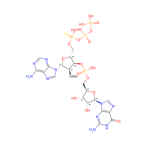 CO[C@@H]1[C@H](OP(=O)(O)OC[C@H]2O[C@@H](n3cnc4c(=O)[nH]c(N)nc43)[C@H](O)[C@@H]2O)[C@@H](COP(O)(=S)OP(=O)(O)OP(=O)(O)O)O[C@H]1n1cnc2c(N)ncnc21